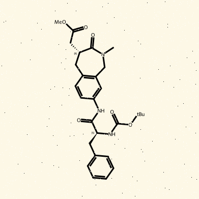 COC(=O)C[C@H]1Cc2ccc(NC(=O)[C@H](Cc3ccccc3)NC(=O)OC(C)(C)C)cc2CN(C)C1=O